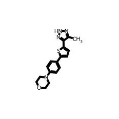 Cc1n[nH]nc1-c1ccc(-c2ccc(N3CCOCC3)cc2)s1